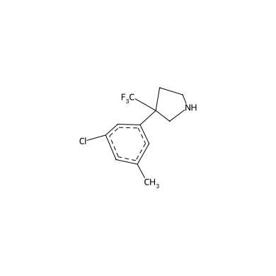 Cc1cc(Cl)cc(C2(C(F)(F)F)CCNC2)c1